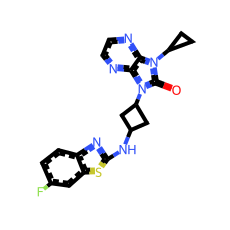 O=c1n(C2CC2)c2nccnc2n1C1CC(Nc2nc3ccc(F)cc3s2)C1